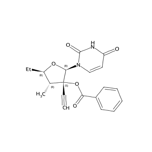 C#C[C@@]1(OC(=O)c2ccccc2)[C@H](C)[C@@H](CC)O[C@H]1n1ccc(=O)[nH]c1=O